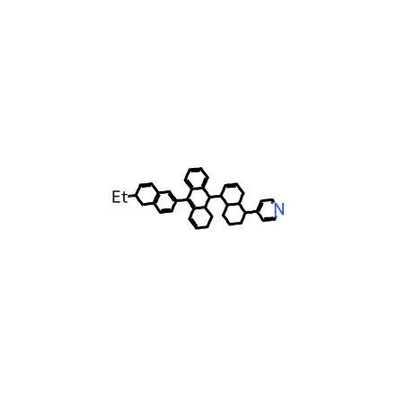 CCC1C=Cc2cc(C3=C4C=CCCC4C(C4C=CCC5C(c6ccncc6)CCCC45)c4ccccc43)ccc2C1